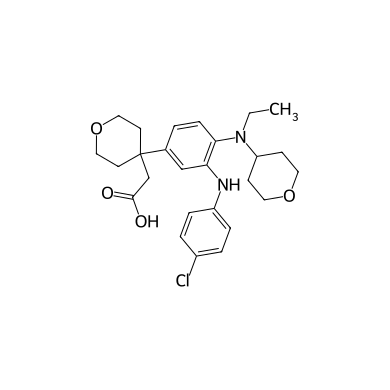 CCN(c1ccc(C2(CC(=O)O)CCOCC2)cc1Nc1ccc(Cl)cc1)C1CCOCC1